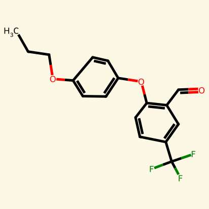 CCCOc1ccc(Oc2ccc(C(F)(F)F)cc2C=O)cc1